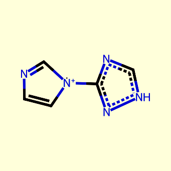 C1=C[N+](c2nc[nH]n2)C=N1